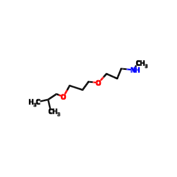 CNCCCOCCCOCC(C)C